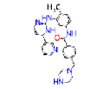 Cc1ccc(NC(=O)c2ccc(CN3CCNCC3)cc2)cc1NC1=NC=CC(c2cccnc2)N1